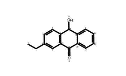 CCc1ccc2c(c1)C(=O)c1ccccc1C2O